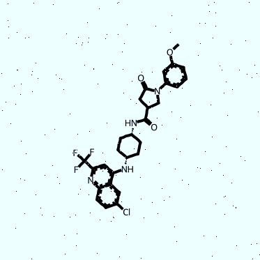 COc1cccc(N2CC(C(=O)N[C@H]3CC[C@@H](Nc4cc(C(F)(F)F)nc5ccc(Cl)cc45)CC3)CC2=O)c1